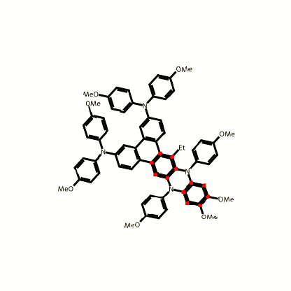 CCc1cc(N(c2ccc(OC)cc2)c2ccc(OC)cc2)ccc1-c1ccc(N(c2ccc(OC)cc2)c2ccc(OC)cc2)cc1-c1cc(N(c2ccc(OC)cc2)c2ccc(OC)cc2)ccc1-c1ccc(N(c2ccc(OC)cc2)c2ccc(OC)cc2)cc1